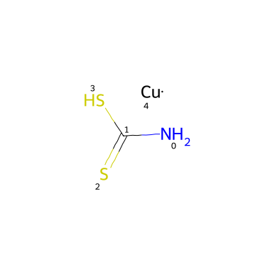 NC(=S)S.[Cu]